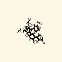 CCOC(=O)c1oc2cc(Cl)c(-c3cnn(C)c3)cc2c1N(C(=O)OCC)[C@H]1CCO[C@@H](CC)C1